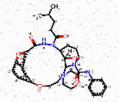 CC(C)CCC(=O)N1NC(=O)c2cc3cc(ccc3o2)OCC[N+]2(CCOCC2)C2[C@@H](O)C1CCCN2C(=O)Nc1ccccc1